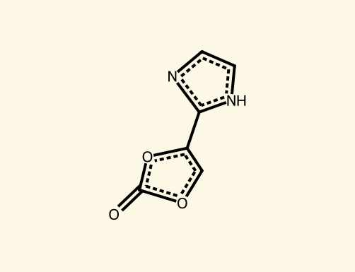 O=c1occ(-c2ncc[nH]2)o1